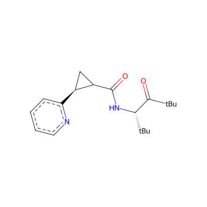 CC(C)(C)C(=O)[C@@H](NC(=O)C1C[C@@H]1c1ccccn1)C(C)(C)C